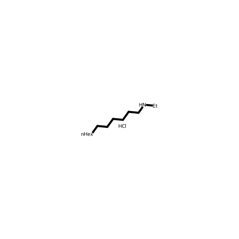 CCCCCCCCCCCCNCC.Cl